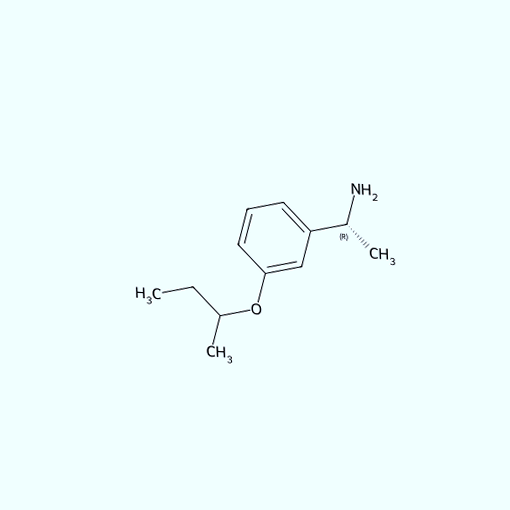 CCC(C)Oc1cccc([C@@H](C)N)c1